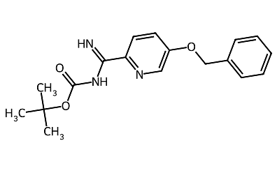 CC(C)(C)OC(=O)NC(=N)c1ccc(OCc2ccccc2)cn1